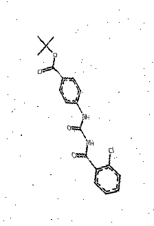 CC(C)(C)OC(=O)c1ccc(NC(=O)NC(=O)c2ccccc2Cl)cc1